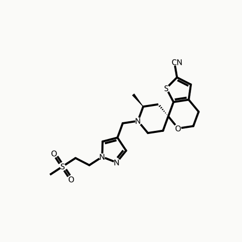 C[C@H]1C[C@@]2(CCN1Cc1cnn(CCS(C)(=O)=O)c1)OCCc1cc(C#N)sc12